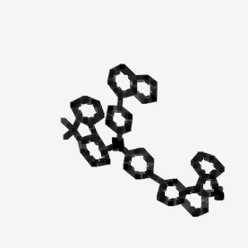 CC1(C)c2ccccc2-c2c(N(c3ccc(-c4ccc5ccc6sc7ccccc7c6c5c4)cc3)c3ccc(-c4cccc5ccccc45)cc3)cccc21